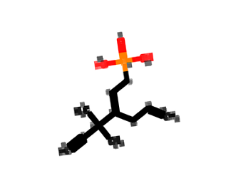 C#CC(C)(C)C(=CCP(=O)(O)O)CC=C